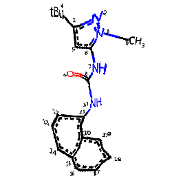 Cn1nc(C(C)(C)C)cc1NC(=O)Nc1cccc2ccccc12